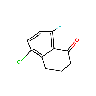 O=C1CCCc2c(Cl)ccc(F)c21